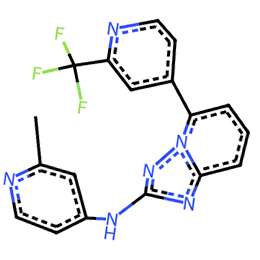 Cc1cc(Nc2nc3cccc(-c4ccnc(C(F)(F)F)c4)n3n2)ccn1